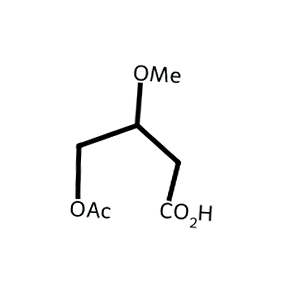 COC(COC(C)=O)CC(=O)O